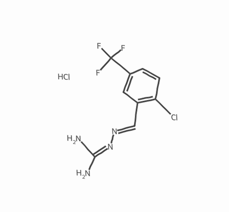 Cl.NC(N)=NN=Cc1cc(C(F)(F)F)ccc1Cl